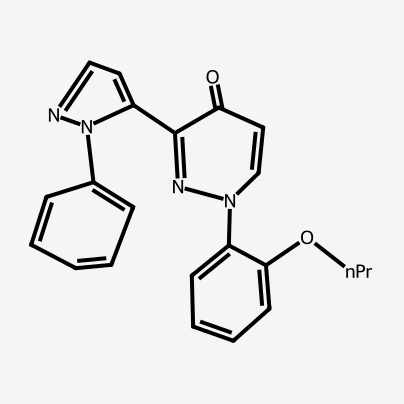 CCCOc1ccccc1-n1ccc(=O)c(-c2ccnn2-c2ccccc2)n1